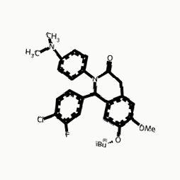 CC[C@@H](C)Oc1cc2c(cc1OC)CC(=O)N(c1ccc(N(C)C)cc1)C2c1ccc(Cl)c(F)c1